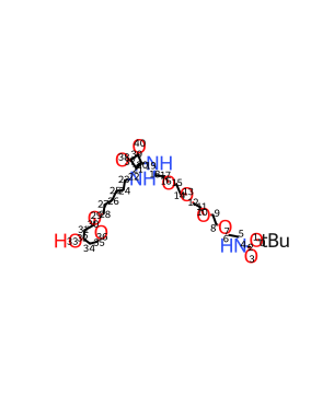 CC(C)(C)OC(=O)NCCOCCOCCOCCOCCNc1c(NCCCCCCOC2CC(O)CCO2)c(=O)c1=O